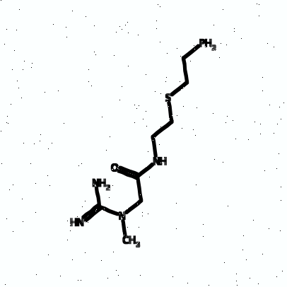 CN(CC(=O)NCCSCCP)C(=N)N